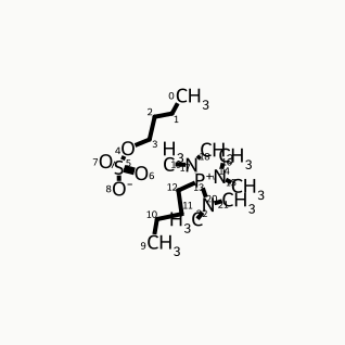 CCCCOS(=O)(=O)[O-].CCCC[P+](N(C)C)(N(C)C)N(C)C